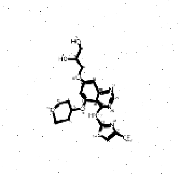 OCC(O)COc1cc(OC2CCOCC2)c2c(Nc3nc(C(F)(F)F)cs3)ncnc2c1